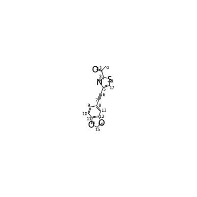 CC(=O)c1nc(C#Cc2ccc3c(c2)OCO3)cs1